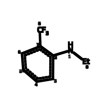 CCNc1cc[c]cc1C(F)(F)F